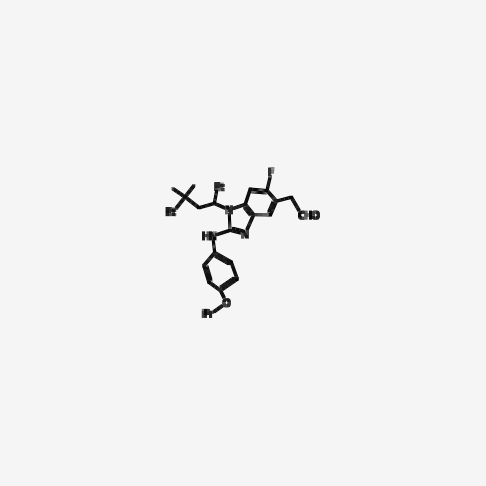 CCC(CC(C)(C)CC)n1c(Nc2ccc(OC(C)C)cc2)nc2cc(CC=O)c(F)cc21